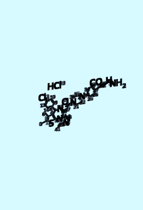 Cc1sc2c(c1C)C(c1ccc(Cl)cc1)=N[C@@H](CC(=O)N1CCN(c3ccc(C#CCN)c(C(=O)O)c3)CC1)c1nnc(C)n1-2.Cl